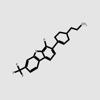 CCCC1CC=C(c2ccc3c(sc4cc(C(F)(F)F)ccc43)c2F)CC1